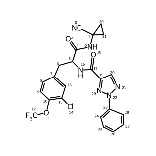 N#CC1(NC(=O)C(Cc2ccc(OC(F)(F)F)c(Cl)c2)NC(=O)c2cnn(-c3ccccc3)n2)CC1